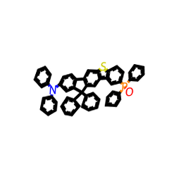 O=P(c1ccccc1)(c1ccccc1)c1ccc2sc3cc4c(cc3c2c1)C(c1ccccc1)(c1ccccc1)c1cc(N(c2ccccc2)c2ccccc2)ccc1-4